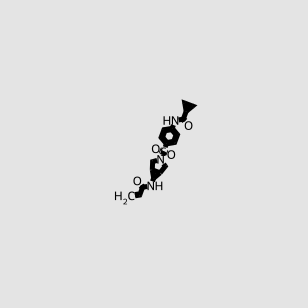 C=CC(=O)NC1C2CN(S(=O)(=O)c3ccc(NC(=O)C4CC4)cc3)CC21